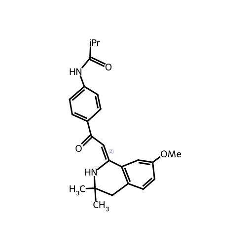 COc1ccc2c(c1)/C(=C/C(=O)c1ccc(NC(=O)C(C)C)cc1)NC(C)(C)C2